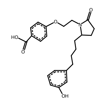 O=C(O)c1ccc(OCCN2C(=O)CCC2CCCCc2cccc(O)c2)cc1